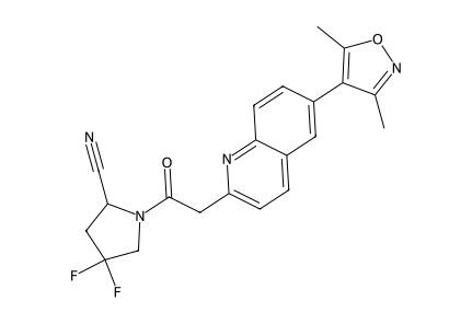 Cc1noc(C)c1-c1ccc2nc(CC(=O)N3CC(F)(F)CC3C#N)ccc2c1